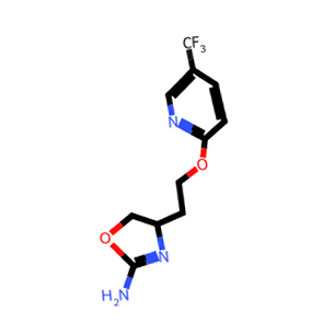 NC1=NC(CCOc2ccc(C(F)(F)F)cn2)CO1